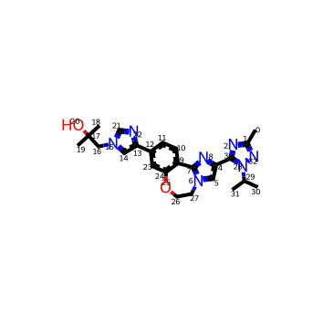 Cc1nc(-c2cn3c(n2)-c2ccc(-c4cn(CC(C)(C)O)cn4)cc2OCC3)n(C(C)C)n1